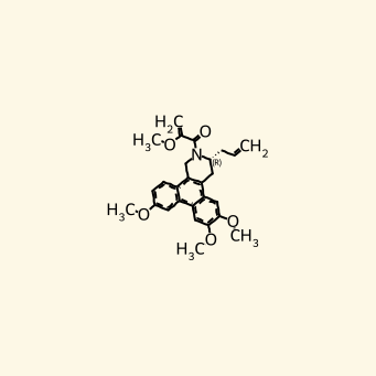 C=CC[C@@H]1Cc2c(c3ccc(OC)cc3c3cc(OC)c(OC)cc23)CN1C(=O)C(=C)OC